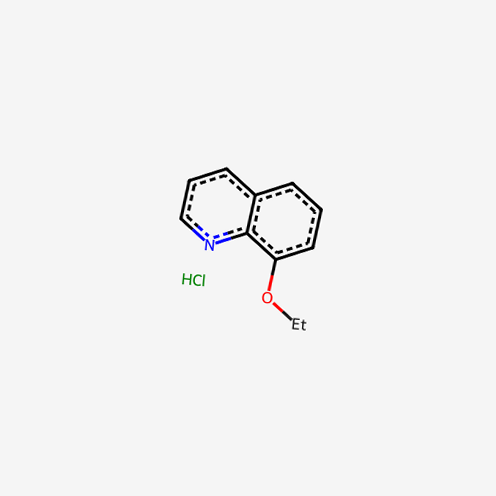 CCOc1cccc2cccnc12.Cl